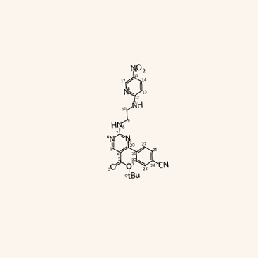 CC(C)(C)OC(=O)c1cnc(NCCNc2ccc([N+](=O)[O-])cn2)nc1-c1ccc(C#N)cc1